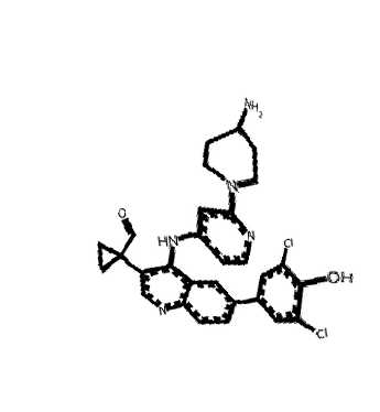 NC1CCN(c2cc(Nc3c(C4(C=O)CC4)cnc4ccc(-c5cc(Cl)c(O)c(Cl)c5)cc34)ccn2)CC1